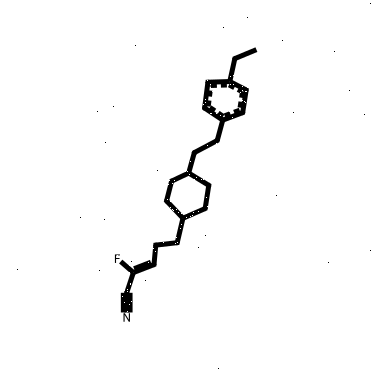 CCc1ccc(CCC2CCC(CCC=C(F)C#N)CC2)cc1